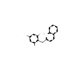 O=[N+]([O-])c1cc(Cl)c(Cc2ccc3ccccc3n2)c(Cl)c1